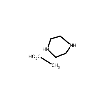 C1CNCCN1.CC(=O)O